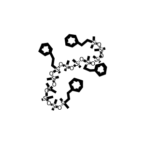 C[Si](C)(CCc1ccccc1)O[Si](C)(C)O[Si](C)(C)O[Si](C)(C)O[Si](C)(C)O[Si](C)(CCc1ccccc1)O[Si](C)(C)O[Si](C)(C)O[Si](C)(CCc1ccccc1)O[Si](C)(C)O[Si](C)(C)O[Si](C)(C)CCc1ccccc1